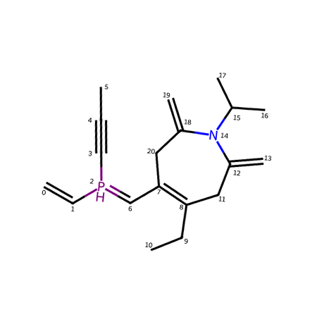 C=C/[PH](C#CC)=C/C1=C(CC)CC(=C)N(C(C)C)C(=C)C1